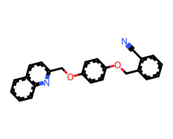 N#Cc1ccccc1COc1ccc(OCc2ccc3ccccc3n2)cc1